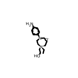 CC[N+]1(CCO)CCCN(c2ccc(N)cc2)CC1.[Cl-]